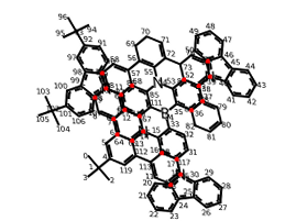 CC(C)(C)C1=CC(C2=CCCC=C2)C(N2c3cc(-n4c5ccccc5c5ccccc54)ccc3B3c4ccc(-n5c6ccccc6c6ccccc65)cc4N(C4=C(C5=CC=CC(C6C=CC=CC6)C5)CCC=C4C4C=CC=C(C5=CC=CCC5)C4)c4cc(-n5c6ccc(C(C)(C)C)cc6c6cc(C(C)(C)C)ccc65)cc2c43)C(C2=CC=CCC2)=C1